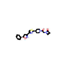 O=C(CN1CCC1=O)N1CCC(c2nc(C3=NO[C@@H](c4ccccc4)C3)cs2)CC1